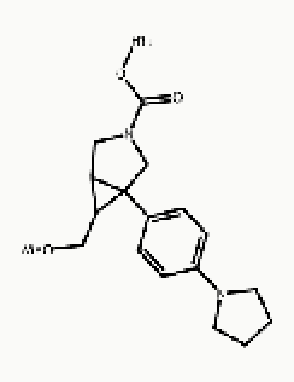 COCC1C2CN(C(=O)OC(C)(C)C)CC12c1ccc(N2CCCC2)cc1